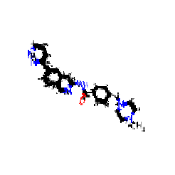 CN1CCN(C[C@H]2CC[C@H](C(=O)Nc3cc4cc(-c5cccnn5)ccc4cn3)CC2)CC1